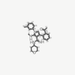 CNc1c(C(=N)NC2CCOCC2)c(-c2ccccc2C(C)=O)cn1-c1cccc(C)c1